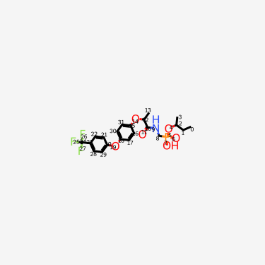 CCC(C)OP(=O)(O)CNC(=O)C(C)Oc1ccc(Oc2ccc(C(F)(F)F)cc2)cc1